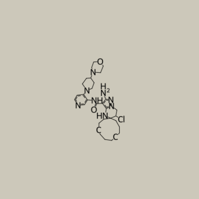 Nc1nn2c(c1C(=O)Nc1cnccc1N1CCC(N3CCOCC3)CC1)NC1(CCCCCCCCCC1)C(Cl)C2